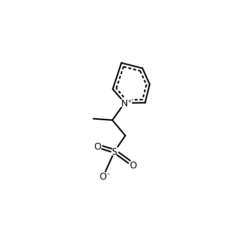 CC(CS(=O)(=O)[O-])[n+]1ccccc1